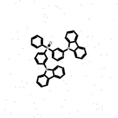 O=P(c1ccccc1)(c1cccc(-n2c3ccccc3c3ccccc32)c1)c1cccc(-n2c3ccccc3c3ccccc32)c1